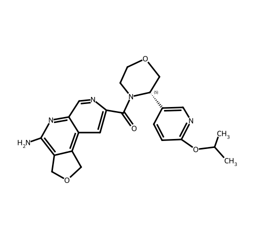 CC(C)Oc1ccc([C@H]2COCCN2C(=O)c2cc3c4c(c(N)nc3cn2)COC4)cn1